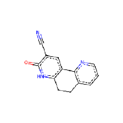 N#Cc1cc2c([nH]c1=O)CCc1cccnc1-2